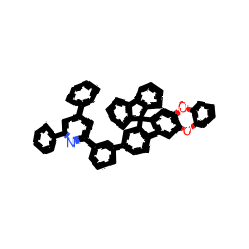 c1ccc(-c2cc(-c3ccccc3)nc(-c3cccc(-c4ccc5c(c4)C4(c6ccccc6-c6ccccc64)c4cc6c(cc4-5)Oc4ccccc4O6)c3)c2)cc1